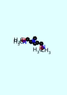 CC1(C)CN=C(c2cccc(-c3ccc4c(ccc5c6ccc(-c7cccc(C8=NCC(C)(C)O8)c7)cc6n(-c6ccccc6)c45)c3)c2)O1